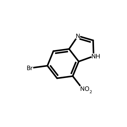 O=[N+]([O-])c1cc(Br)cc2nc[nH]c12